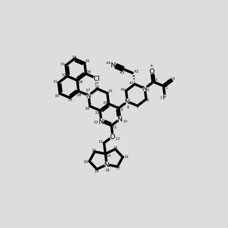 C=C(F)C(=O)N1CCN(c2nc(OCC34CCCN3CCC4)nc3c2CCN(c2cccc4cccc(Cl)c24)C3)C[C@@H]1CC#N